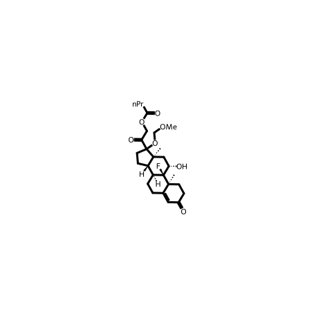 CCCC(=O)OCC(=O)C1(OCOC)CC[C@H]2[C@@H]3CCC4=CC(=O)CC[C@]4(C)[C@@]3(F)[C@@H](O)C[C@@]21C